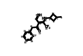 CC1CC(N/C(=C(\C=N)C(=O)Cc2ccncn2)C(F)(F)F)C1